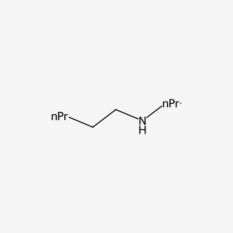 CC[CH]NCCCCC